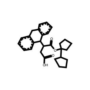 O=C(O)CC(C(=O)OC1(C2CCCC2)CCCC1)C1c2ccccc2Cc2ccccc21